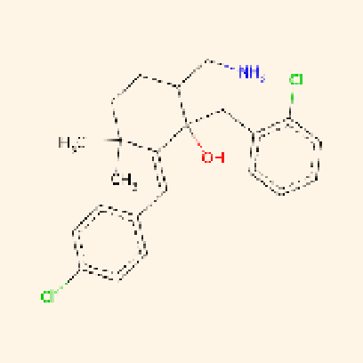 CC1(C)CCC(CN)C(O)(Cc2ccccc2Cl)C1=Cc1ccc(Cl)cc1